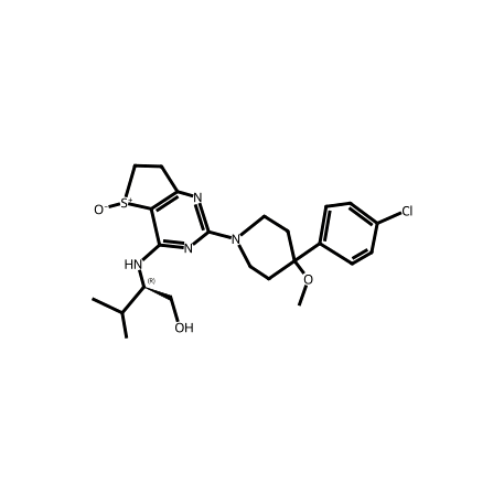 COC1(c2ccc(Cl)cc2)CCN(c2nc3c(c(N[C@@H](CO)C(C)C)n2)[S+]([O-])CC3)CC1